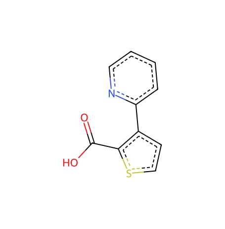 O=C(O)c1sccc1-c1ccccn1